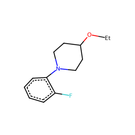 CCOC1CCN(c2ccccc2F)CC1